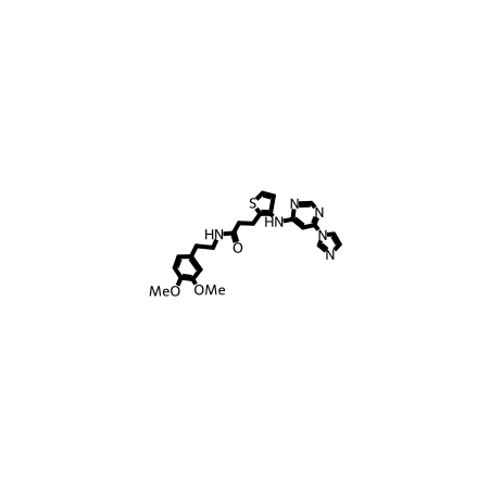 COc1ccc(CCNC(=O)CCc2sccc2Nc2cc(-n3ccnc3)ncn2)cc1OC